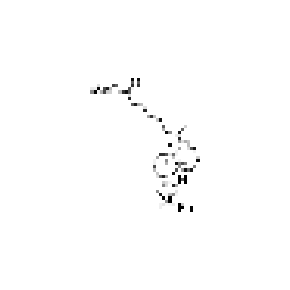 COC(=O)C=CC=CCC(C)[C@H]1CCC[C@H]2[C@@H](O[Si](C)(C)C(C)(C)C)CCC[C@]12C